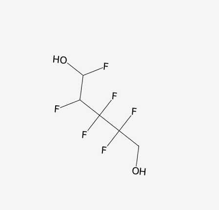 OCC(F)(F)C(F)(F)C(F)C(O)F